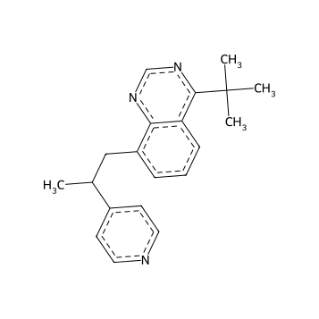 CC(Cc1cccc2c(C(C)(C)C)ncnc12)c1ccncc1